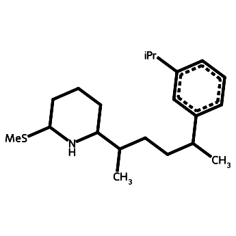 CSC1CCCC(C(C)CCC(C)c2cccc(C(C)C)c2)N1